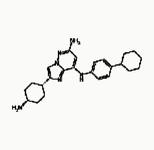 Nc1cc(Nc2ccc(C3CCCCC3)cc2)c2nc([C@H]3CC[C@H](N)CC3)cn2n1